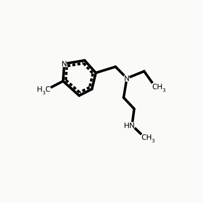 CCN(CCNC)Cc1ccc(C)nc1